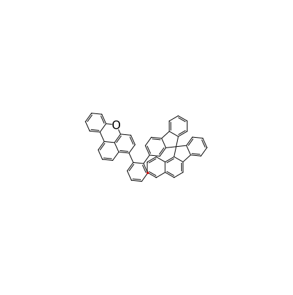 c1ccc2c(c1)Oc1ccc(-c3ccccc3-c3ccc4c(c3)C3(c5ccccc5-4)c4ccccc4-c4ccc5ccccc5c43)c3cccc-2c13